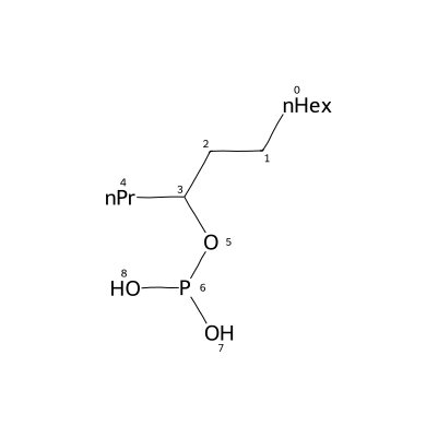 CCCCCCCCC(CCC)OP(O)O